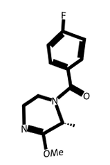 COC1=NCCN(C(=O)c2ccc(F)cc2)[C@@H]1C